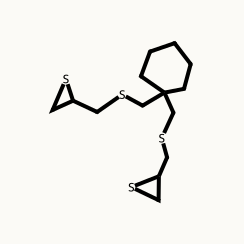 C1CCC(CSCC2CS2)(CSCC2CS2)CC1